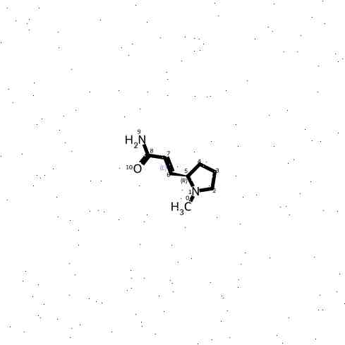 CN1CCC[C@@H]1/C=C/C(N)=O